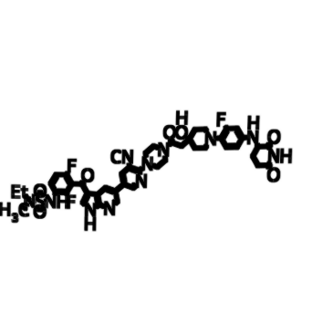 CCN(C)S(=O)(=O)Nc1ccc(F)c(C(=O)c2c[nH]c3ncc(-c4cnc(N5CCN(C(=O)CC6(O)CCN(c7ccc(NC8CCC(=O)NC8=O)cc7F)CC6)CC5)c(C#N)c4)cc23)c1F